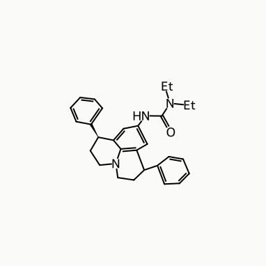 CCN(CC)C(=O)Nc1cc2c3c(c1)[C@H](c1ccccc1)CCN3CCC2c1ccccc1